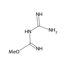 COC(=N)NC(=N)N